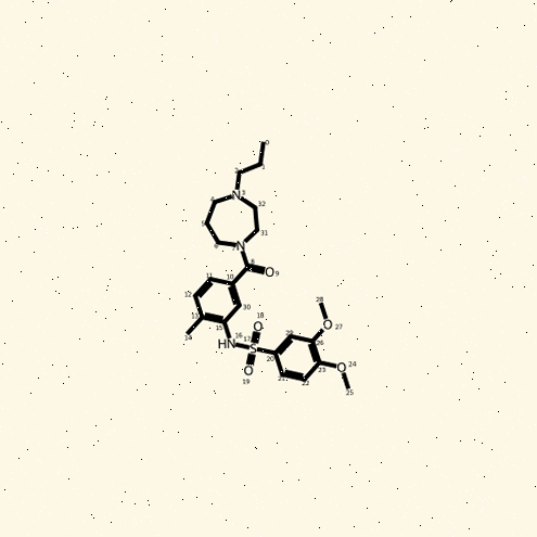 CCCN1CCCN(C(=O)c2ccc(C)c(NS(=O)(=O)c3ccc(OC)c(OC)c3)c2)CC1